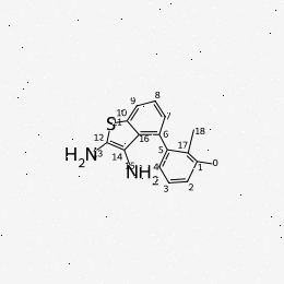 Cc1cccc(-c2cccc3sc(N)c(N)c23)c1C